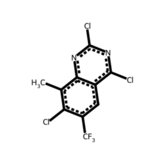 Cc1c(Cl)c(C(F)(F)F)cc2c(Cl)nc(Cl)nc12